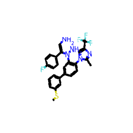 CSc1cccc(-c2ccc(-n3cc(C(F)(F)F)nc3C)c(N(N)/C(=C\N)c3ccc(F)cc3)c2)c1